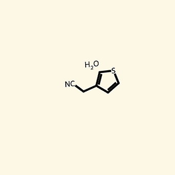 N#CCc1ccsc1.O